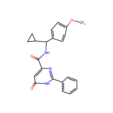 O=C(NC(c1ccc(OC(F)(F)F)cc1)C1CC1)c1cc(=O)[nH]c(-c2ccccc2)n1